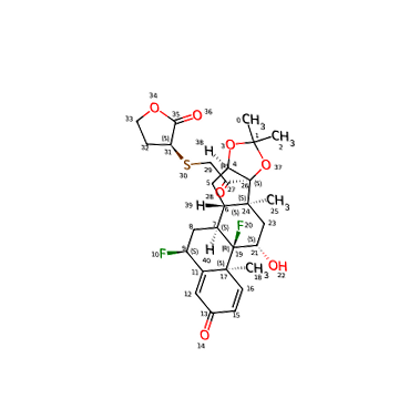 CC1(C)O[C@@H]2C[C@H]3[C@@H]4C[C@H](F)C5=CC(=O)C=C[C@]5(C)[C@@]4(F)[C@@H](O)C[C@]3(C)[C@]2(C(=O)CS[C@H]2CCOC2=O)O1